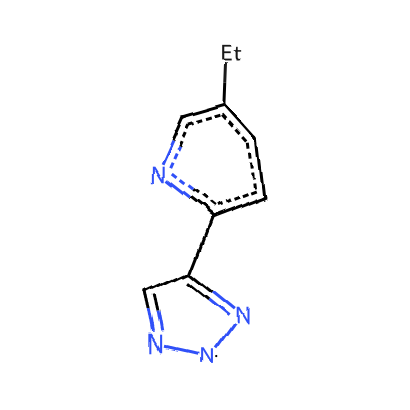 CCc1ccc(C2=N[N]N=C2)nc1